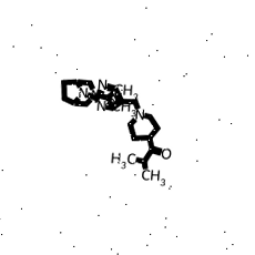 CC(C)C(=O)C1CCN(Cc2cnc(N3C4CCC3CN(C(C)C)C4)nc2)CC1